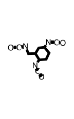 O=C=NCC1CC(N=C=O)CCC1N=C=O